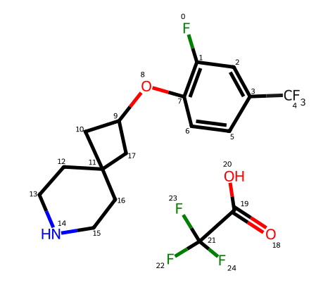 Fc1cc(C(F)(F)F)ccc1OC1CC2(CCNCC2)C1.O=C(O)C(F)(F)F